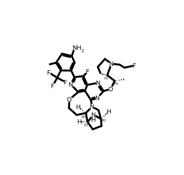 Cc1cc(N)cc(-c2nc3c4c(nc(O[C@@H](C)[C@@H]5CCCN5CCF)nc4c2F)N2C[C@H]4CC[C@H](N4)[C@H]2CCO3)c1C(F)(F)F